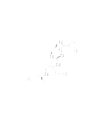 CC(C)C(C)c1ncc2cnc(N[C@@H]3CCN(C(=O)OC(C)(C)C)C[C@H]3O)nn12